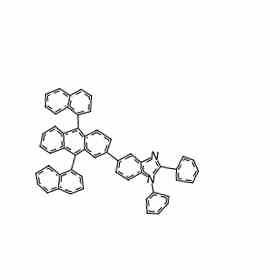 c1ccc(-c2nc3cc(-c4ccc5c(-c6cccc7ccccc67)c6ccccc6c(-c6cccc7ccccc67)c5c4)ccc3n2-c2ccccc2)cc1